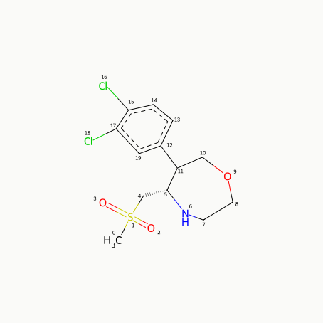 CS(=O)(=O)C[C@H]1NCCOCC1c1ccc(Cl)c(Cl)c1